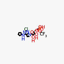 O=P(O)(COC[C@H]1O[C@@H](n2ccc3c(NC4CCCC4)nc(Cl)nc32)[C@H](O)[C@@H]1O)OCC(F)(F)F